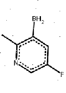 Bc1cc(F)cnc1C